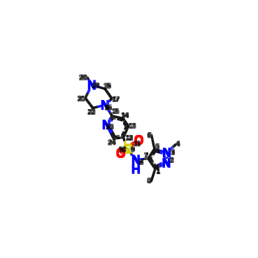 Cc1nn(C)c(C)c1NS(=O)(=O)c1ccc(N2CCN(C)CC2)nc1